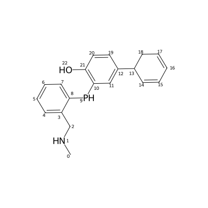 CNCc1ccccc1Pc1cc(C2C=CC=CC2)ccc1O